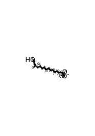 C[N+](C)(CCO)CCCCCCCCCCCCS(=O)(=O)[O-]